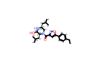 CCc1ccc(-c2cc(C(=O)N3C[C@H](CC(C)C)NC(O)[C@@H]3CC(C)C)no2)cc1